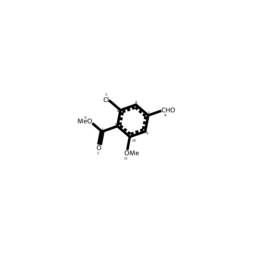 COC(=O)c1c(Cl)cc(C=O)cc1OC